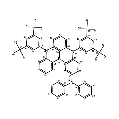 CC(C)(C)c1cc(N2c3ccccc3B3c4cc(N(c5ccccc5)c5ccccc5)ccc4N(c4cc(C(C)(C)C)cc(C(C)(C)C)c4)c4cccc2c43)cc(C(C)(C)C)c1